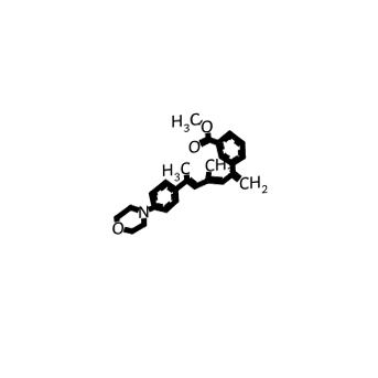 C=C(/C=C(C)/C=C(\C)c1ccc(N2CCOCC2)cc1)c1cccc(C(=O)OC)c1